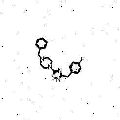 Fc1ccc(Cc2nsc(N3CCN(Cc4ccccc4)CC3)n2)cc1